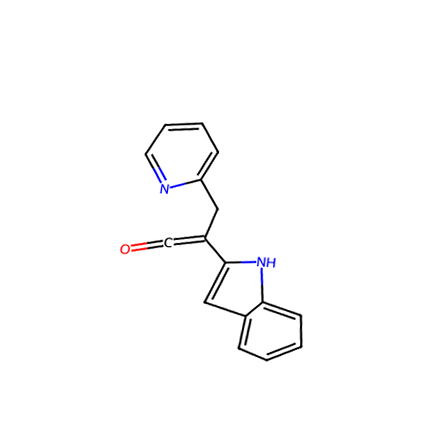 O=C=C(Cc1ccccn1)c1cc2ccccc2[nH]1